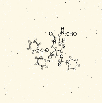 O=CNC1C(=O)N2CC(COC(=O)N3CCCCC3)(C(=O)OC(c3ccccc3)c3ccccc3)CS[C@H]12